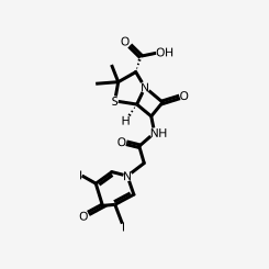 CC1(C)S[C@@H]2C(NC(=O)Cn3cc(I)c(=O)c(I)c3)C(=O)N2[C@H]1C(=O)O